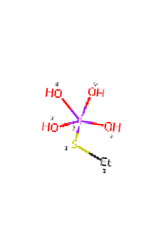 CCSI(O)(O)(O)O